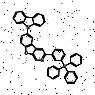 c1ccc([Si](c2ccccc2)(c2ccccc2)c2cccc(-c3cc4c(cn3)oc3ccc(-n5c6ccccc6c6ccccc65)cc34)c2)cc1